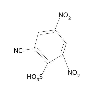 N#Cc1cc([N+](=O)[O-])cc([N+](=O)[O-])c1S(=O)(=O)O